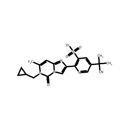 CCS(=O)(=O)c1cc(C(C)(C)C#N)cnc1-c1cn2c(=O)n(CC3CC3)c(C(F)(F)F)cc2n1